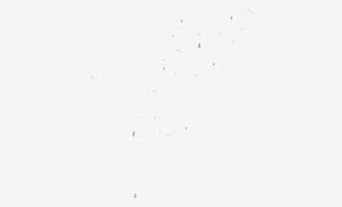 CNCCOCC(=O)N[C@@H](CCCCN)C(=O)N[C@@H](CO)C(=O)NC(C(=O)N[C@H](C(=O)N[C@@H](Cc1c[nH]c2ccccc12)C(=O)NC)[C@@H](C)O)C(C)C